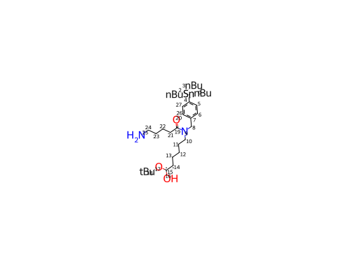 CCC[CH2][Sn]([CH2]CCC)([CH2]CCC)[c]1ccc(CN(CCCC[CH][C](O)OC(C)(C)C)C(=O)CCCCN)cc1